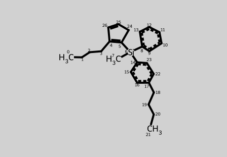 CCCCC1=C([Si](C)(c2ccccc2)c2ccc(CCCC)cc2)CC=C1